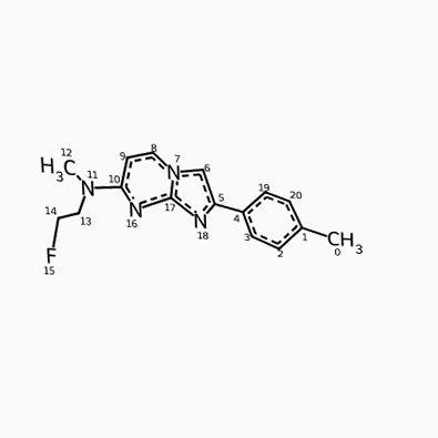 Cc1ccc(-c2cn3ccc(N(C)CCF)nc3n2)cc1